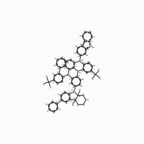 Cc1cc2c3c(c1)N(c1ccc(C(C)(C)C)cc1-c1ccccc1)c1cc(N4c5ccc(-c6ccccc6)cc5C5(C)CCCCC45C)ccc1B3c1cc(C(C)(C)C)ccc1N2c1ccc2c(c1)oc1ccccc12